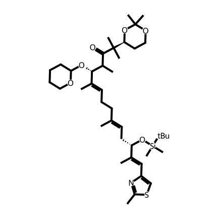 C/C(=C\C[C@H](O[Si](C)(C)C(C)(C)C)/C(C)=C/c1csc(C)n1)CC/C=C(\C)[C@H](OC1CCCCO1)C(C)C(=O)C(C)(C)[C@@H]1CCOC(C)(C)O1